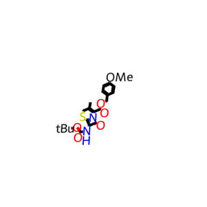 COc1ccc(COC(=O)C2=C(C)CSC3C(NC(=O)OC(C)(C)C)C(=O)N23)cc1